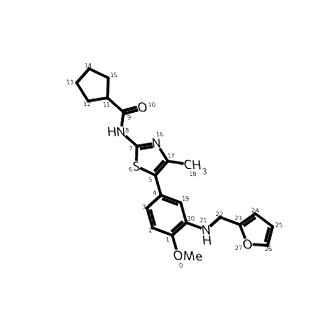 COc1ccc(-c2sc(NC(=O)C3CCCC3)nc2C)cc1NCc1ccco1